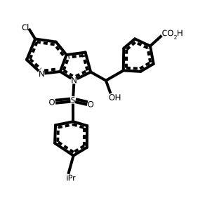 CC(C)c1ccc(S(=O)(=O)n2c(C(O)c3ccc(C(=O)O)cc3)cc3cc(Cl)cnc32)cc1